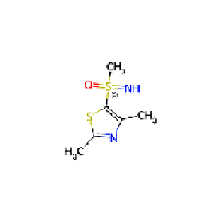 Cc1nc(C)c([S@@](C)(=N)=O)s1